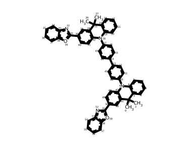 CC1(C)c2ccccc2N(c2ccc(-c3ccc(N4c5ccccc5C(C)(C)c5cc(-c6nc7ccccc7o6)ccc54)cc3)cc2)c2ccc(-c3nc4ccccc4o3)cc21